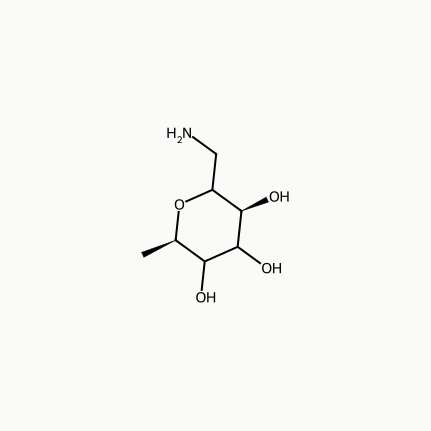 C[C@H]1OC(CN)[C@@H](O)C(O)C1O